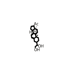 CC(=O)[C@H]1CC[C@H]2C3=CC=C4CC(C(O)CO)CC[C@@]4(C)[C@H]3CC[C@]12C